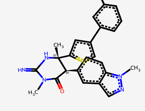 CN1C(=N)N[C@](C)(c2cc(-c3cccc(C#N)c3)cs2)[C@@H](c2ccc3c(cnn3C)c2)C1=O